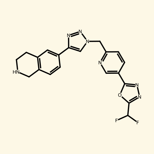 FC(F)c1nnc(-c2ccc(Cn3cc(-c4ccc5c(c4)CCNC5)nn3)nc2)o1